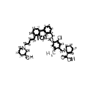 Cc1cc(OCc2cccc(-c3cccc(/C=C/CCN4CCC[C@@H](O)C4)c3C)c2C)c(Cl)cc1CN1CCCC[C@H]1C(=O)O